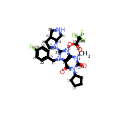 Cn1c2c(c(=O)n(C3CCCC3)c1=O)N(Cc1ccc(F)cc1)C(N1CCC3CNCC31)N2OC(=O)C(F)(F)F